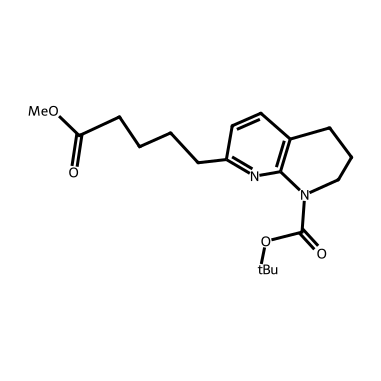 COC(=O)CCCCc1ccc2c(n1)N(C(=O)OC(C)(C)C)CCC2